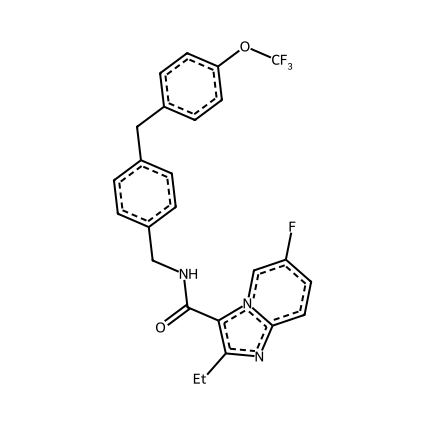 CCc1nc2ccc(F)cn2c1C(=O)NCc1ccc(Cc2ccc(OC(F)(F)F)cc2)cc1